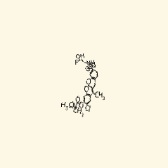 Cc1c(Cc2ccc(S(=O)(=O)NCCC(O)F)cc2)c(=O)oc2cc(OC(=O)N(C)C)c(Cl)cc12